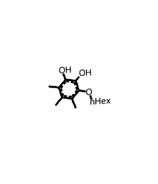 CCCCCCOc1c(C)c(C)c(C)c(O)c1O